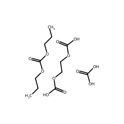 CCCOC(=O)OCCC.O=C(O)O.O=C(O)OCCOC(=O)O